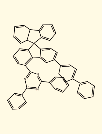 C1=CC2c3ccccc3C3(c4ccc(C5=CC=C(c6ccccc6)CC5)cc4-c4c(-c5nc(-c6ccccc6)nc(-c6ccccc6)n5)cccc43)C2C=C1